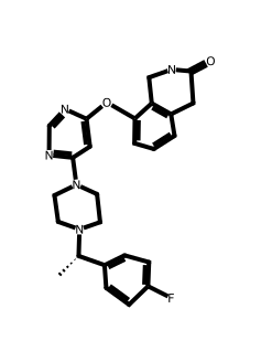 C[C@@H](c1ccc(F)cc1)N1CCN(c2cc(Oc3cccc4c3C[N]C(=O)C4)ncn2)CC1